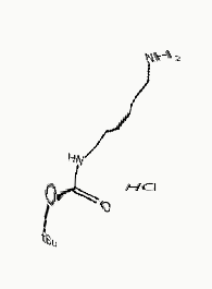 CC(C)(C)OC(=O)NCCCN.Cl